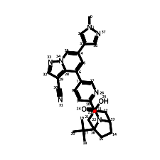 Cn1cc(-c2cc(-c3ccc(N4CC5CCC(C(C)(C)C)(C4)N5C(=O)O)nc3)c3c(C#N)cnn3c2)cn1